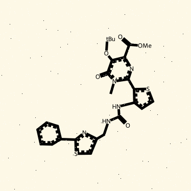 COC(=O)c1nc(-c2sccc2NC(=O)NCc2csc(-c3ccccc3)n2)n(C)c(=O)c1OC(C)(C)C